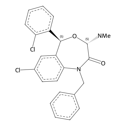 CN[C@H]1O[C@H](c2ccccc2Cl)c2cc(Cl)ccc2N(Cc2ccccc2)C1=O